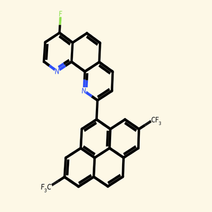 Fc1ccnc2c1ccc1ccc(-c3cc4cc(C(F)(F)F)cc5ccc6cc(C(F)(F)F)cc3c6c54)nc12